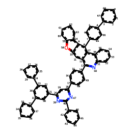 c1ccc(-c2ccc(-c3c4c(cc5c(-c6ccc(-c7cc(-c8cc(-c9ccccc9)cc(-c9ccccc9)c8)nc(-c8ccccc8)n7)cc6)nc6ccccc6c35)oc3ccccc34)cc2)cc1